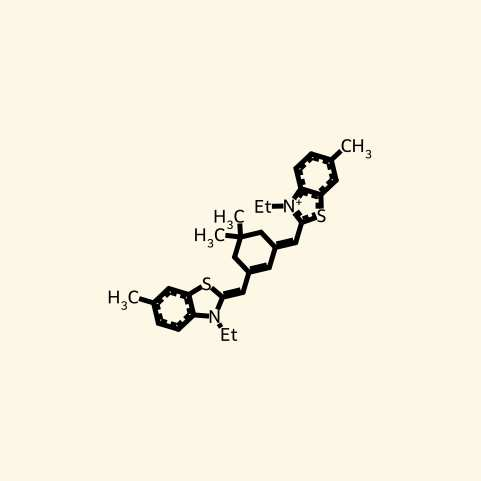 CCN1/C(=C/C2=CC(=C/c3sc4cc(C)ccc4[n+]3CC)/CC(C)(C)C2)Sc2cc(C)ccc21